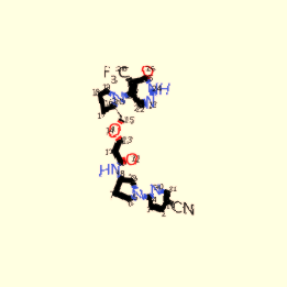 N#Cc1ccc(N2CCC(NC(=O)CCOC[C@@H]3CCCN3c3cn[nH]c(=O)c3C(F)(F)F)C2)nc1